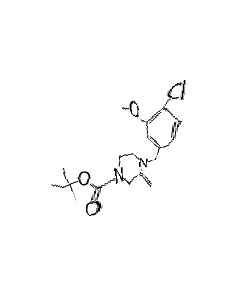 C=C1CN(C(=O)OC(C)(C)C)CCN1Cc1ccc(Cl)c(OC)c1